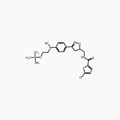 CC(C)(C)[Si](C)(C)OCCN(C#N)c1ccc(C2=NOC(CNC(=O)c3ccc(Cl)s3)C2)cc1